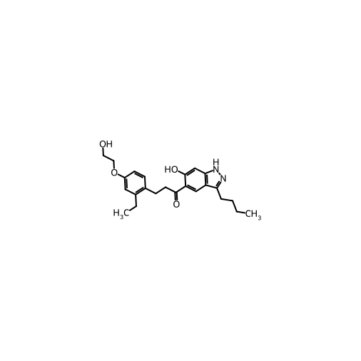 CCCCc1n[nH]c2cc(O)c(C(=O)CCc3ccc(OCCO)cc3CC)cc12